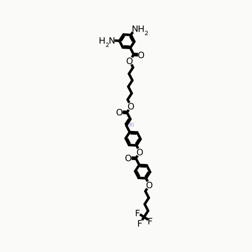 Nc1cc(N)cc(C(=O)OCCCCCCOC(=O)/C=C/c2ccc(OC(=O)c3ccc(OCCCCC(F)(F)F)cc3)cc2)c1